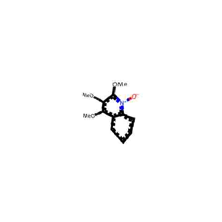 COc1c(OC)c2ccccc2[n+]([O-])c1OC